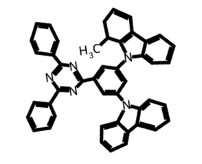 CC1CC=Cc2c1n(-c1cc(-c3nc(-c4ccccc4)nc(-c4ccccc4)n3)cc(-n3c4ccccc4c4ccccc43)c1)c1ccccc21